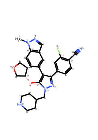 Cn1ncc2cc(-c3c(-c4ccc(C#N)c(F)c4)nn(CC4CCNCC4)c3O[C@H]3CCOC3)ccc21